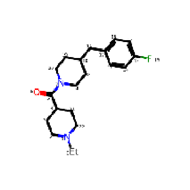 CCN1CCC(C(=O)N2CCC(Cc3ccc(F)cc3)CC2)CC1